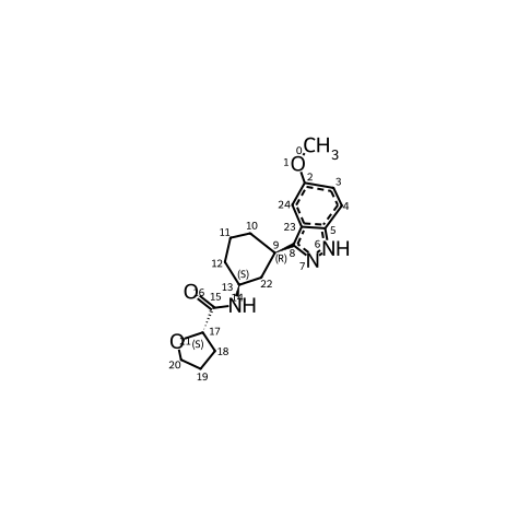 COc1ccc2[nH]nc([C@@H]3CCC[C@H](NC(=O)[C@@H]4CCCO4)C3)c2c1